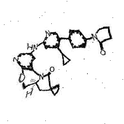 O=C1CCCN1c1ccc(-c2cnc(Nc3cnc4c(c3)N3C(=O)C5(CC5)C[C@H]3CO4)cc2C2CC2)cc1